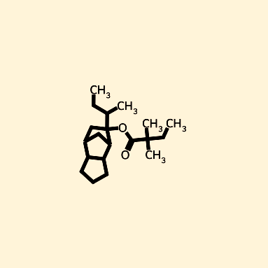 CCC(C)C1(OC(=O)C(C)(C)CC)CC2CC1C1CCCC21